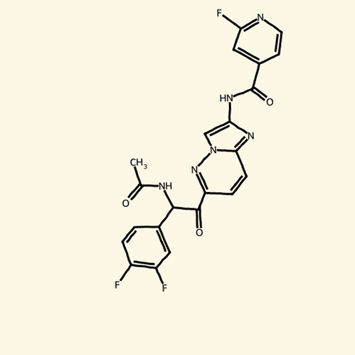 CC(=O)NC(C(=O)c1ccc2nc(NC(=O)c3ccnc(F)c3)cn2n1)c1ccc(F)c(F)c1